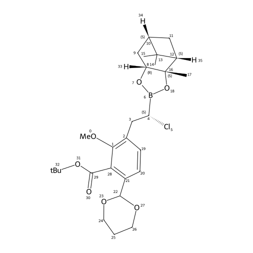 COc1c(C[C@@H](Cl)B2O[C@@H]3C[C@@H]4C[C@@H](C4(C)C)[C@]3(C)O2)ccc(C2OCCCO2)c1C(=O)OC(C)(C)C